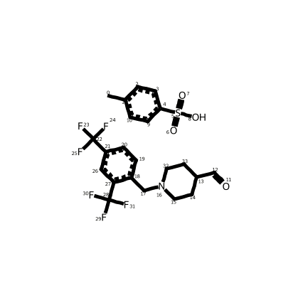 Cc1ccc(S(=O)(=O)O)cc1.O=CC1CCN(Cc2ccc(C(F)(F)F)cc2C(F)(F)F)CC1